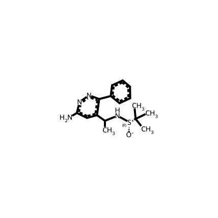 CC(N[S@@+]([O-])C(C)(C)C)c1cc(N)nnc1-c1ccccc1